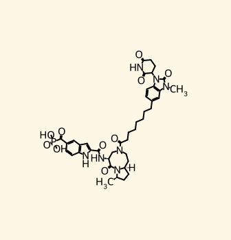 C[C@@H]1CC[C@@H]2CCN(C(=O)CCCCCCCc3ccc4c(c3)n(C)c(=O)n4C3CCC(=O)NC3=O)C[C@H](NC(=O)c3cc4cc(C(=O)P(=O)(O)O)ccc4[nH]3)C(=O)N21